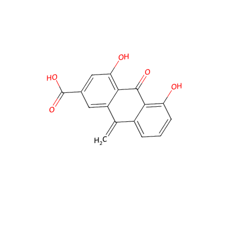 C=C1c2cccc(O)c2C(=O)c2c(O)cc(C(=O)O)cc21